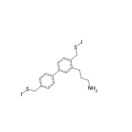 NCCCc1cc(-c2ccc(CSI)cc2)ccc1CSI